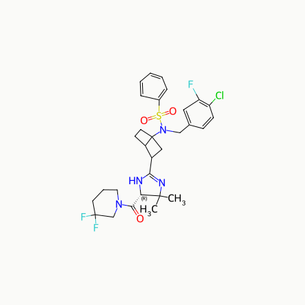 CC1(C)N=C(C2CC3(N(Cc4ccc(Cl)c(F)c4)S(=O)(=O)c4ccccc4)CCC23)N[C@H]1C(=O)N1CCCC(F)(F)C1